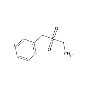 [CH2]CS(=O)(=O)Cc1cccnc1